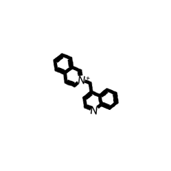 c1ccc2c[n+](Cc3ccnc4ccccc34)ccc2c1